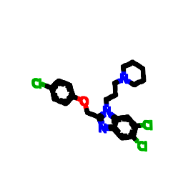 Clc1ccc(OCc2nc3cc(Cl)c(Cl)cc3n2CCCN2CCCCC2)cc1